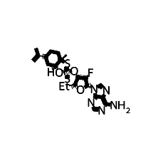 C=C(C)[C@@H]1CC[C@]2(C)S[P@@](=S)(O[C@H]3[C@@H](F)[C@H](n4cnc5c(N)ncnc54)O[C@@H]3CC)O[C@H]2C1